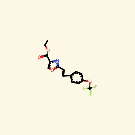 CCOC(=O)c1coc(C=Cc2ccc(OC(F)(F)F)cc2)n1